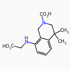 CC1(C)CN(C(=O)O)Cc2c(NCC(=O)O)cccc21